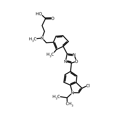 Cc1c(CN(C)CCC(=O)O)cccc1-c1noc(-c2ccc3c(c2)c(Cl)cn3C(C)C)n1